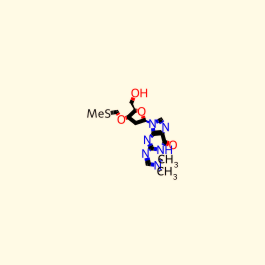 CSCOC1C[C@H](n2cnc3c(=O)[nH]c(/N=C\N(C)C)nc32)O[C@@H]1CO